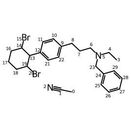 CC#N.CCN(CCCc1ccc(C2C(Br)CCCC2Br)cc1)Cc1ccccc1